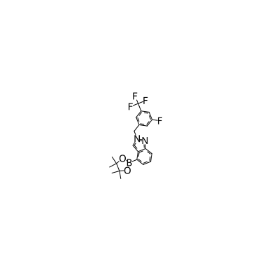 CC1(C)OB(c2cccc3nn(Cc4cc(F)cc(C(F)(F)F)c4)cc23)OC1(C)C